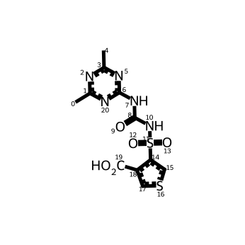 Cc1nc(C)nc(NC(=O)NS(=O)(=O)c2cscc2C(=O)O)n1